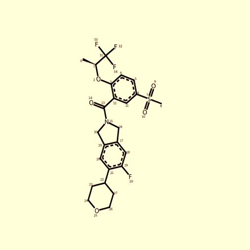 C[C@H](Oc1ccc(S(C)(=O)=O)cc1C(=O)N1Cc2cc(F)c(C3CCOCC3)cc2C1)C(F)(F)F